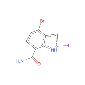 NC(=O)c1ccc(Br)c2cc(I)[nH]c12